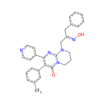 O=c1c(-c2cccc(C(F)(F)F)c2)c(-c2ccncc2)nc2n1CCCN2CC(Cc1ccccc1)=NO